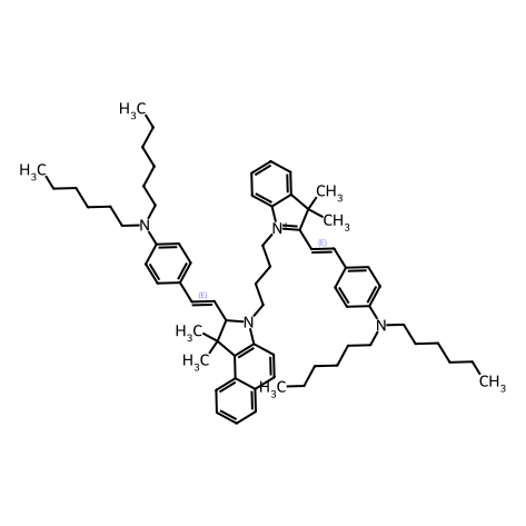 CCCCCCN(CCCCCC)c1ccc(/C=C/C2=[N+](CCCCN3c4ccc5ccccc5c4C(C)(C)C3/C=C/c3ccc(N(CCCCCC)CCCCCC)cc3)c3ccccc3C2(C)C)cc1